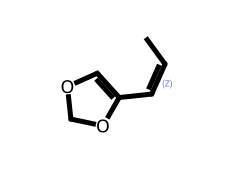 C/C=C\C1=COCO1